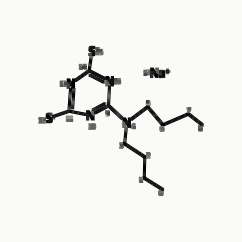 CCCCN(CCCC)c1nc([S])nc([S-])n1.[Na+]